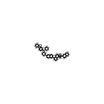 c1ccc(N(c2cccc(-c3ccc4cc(-c5cccc6c5ccc5oc(-c7ccc8ccccc8c7)nc56)ccc4c3)c2)c2ccc3c(c2)oc2ccccc23)cc1